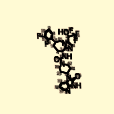 O=C(N[C@@H]1CC[C@@H](c2cccc(F)c2F)Cn2c(C(O)C(F)(F)F)cnc21)N1CCC(n2c(=O)[nH]c3ncccc32)CC1